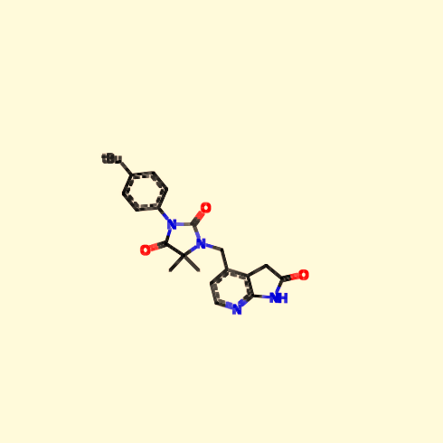 CC(C)(C)c1ccc(N2C(=O)N(Cc3ccnc4c3CC(=O)N4)C(C)(C)C2=O)cc1